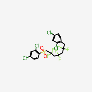 O=S(=O)(CC(F)(F)CC(F)(F)CC(F)(F)Cc1ccc(Cl)cc1Cl)c1ccc(Cl)cc1Cl